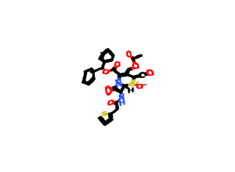 CC(=O)OCC1=C(C(=O)OC(c2ccccc2)c2ccccc2)N2C(=O)C(NC(=O)Cc3cccs3)[C@@H]2[S+]([O-])C1=C=O